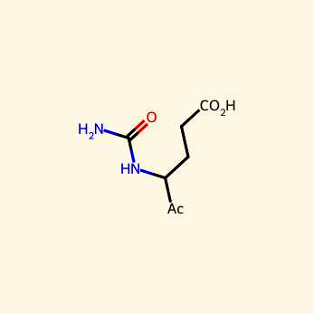 CC(=O)C(CCC(=O)O)NC(N)=O